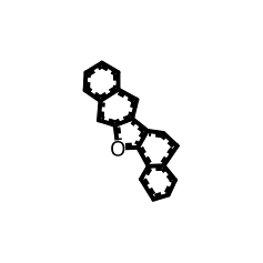 c1ccc2cc3c(cc2c1)oc1c2ccccc2ccc31